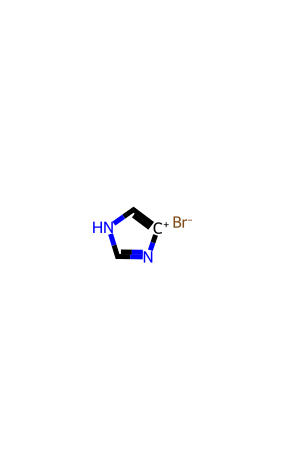 [Br-].[C+]1=CNC=N1